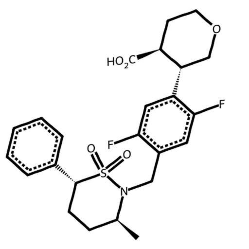 C[C@H]1CC[C@H](c2ccccc2)S(=O)(=O)N1Cc1cc(F)c([C@H]2COCC[C@@H]2C(=O)O)cc1F